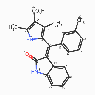 Cc1[nH]c(C(=C2C(=O)Nc3ccccc32)c2cccc(C(F)(F)F)c2)c(C)c1C(=O)O